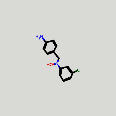 Nc1ccc(CN(O)c2cccc(Cl)c2)cc1